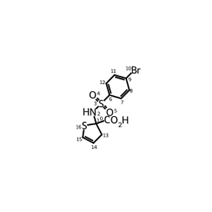 O=C(O)C1(NS(=O)(=O)c2ccc(Br)cc2)CC=CS1